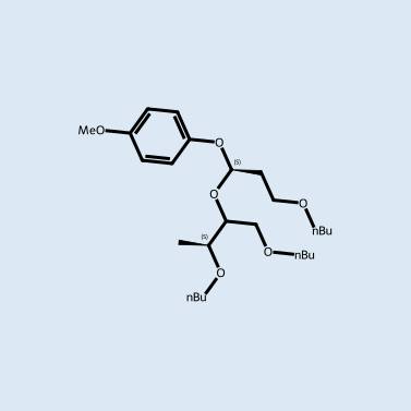 CCCCOCC[C@H](Oc1ccc(OC)cc1)OC(COCCCC)[C@H](C)OCCCC